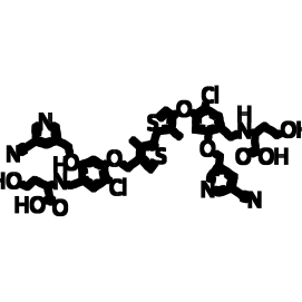 Cc1c(COc2cc(OCc3cncc(C#N)c3)c(CNC(CCO)C(=O)O)cc2Cl)csc1-c1scc(Oc2cc(OCc3cncc(C#N)c3)c(CNC(CCO)C(=O)O)cc2Cl)c1C